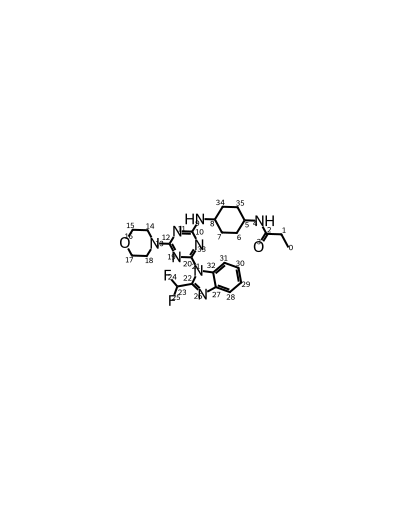 CCC(=O)NC1CCC(Nc2nc(N3CCOCC3)nc(-n3c(C(F)F)nc4ccccc43)n2)CC1